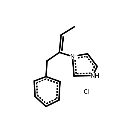 CC=C(Cc1ccccc1)[n+]1cc[nH]c1.[Cl-]